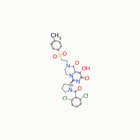 Cc1ccc(S(=O)(=O)CCN2CCn3c([C@@H]4CCCN4C(=O)c4c(Cl)cccc4Cl)nc(=O)c(O)c3C2=O)cc1